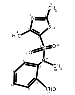 Cc1nc(C)c(S(=O)(=O)N(C)c2ccccc2C=O)s1